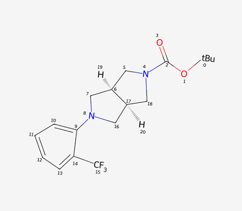 CC(C)(C)OC(=O)N1C[C@@H]2CN(c3ccccc3C(F)(F)F)C[C@@H]2C1